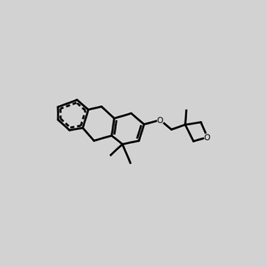 CC1(COC2=CC(C)(C)C3=C(C2)Cc2ccccc2C3)COC1